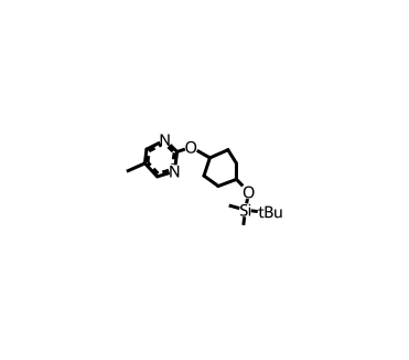 Cc1cnc(OC2CCC(O[Si](C)(C)C(C)(C)C)CC2)nc1